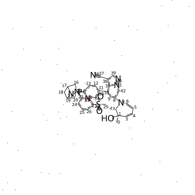 CC1(O)C=CC=CN(c2cc(-c3ccc(N4CC5CC(C4)N5Cc4cccc(S(C)(=O)=O)c4)nc3)c3c(C#N)cnn3c2)C1